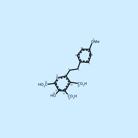 COc1ccc(CCc2nc(C(=O)O)c(O)c(C(=O)O)c2C(=O)O)cc1